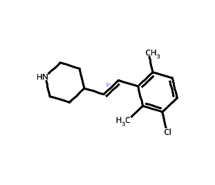 Cc1ccc(Cl)c(C)c1/C=C/C1CCNCC1